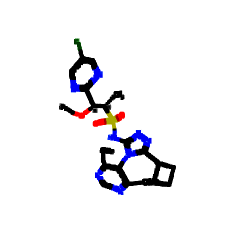 COc1ncnc(OC)c1-n1c(NS(=O)(=O)[C@@H](C)[C@@H](OC(C)C)c2ncc(Cl)cn2)nnc1C1CCC1